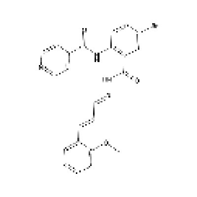 COc1ccccc1C=CC=NNC(=O)c1cc(Br)ccc1NC(=O)c1ccncc1